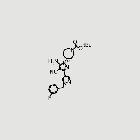 CC(C)(C)OC(=O)N1CCC[C@H](n2nc(-c3cnn(Cc4cccc(F)c4)c3)c(C#N)c2N)CC1